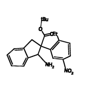 CCc1ccc([N+](=O)[O-])cc1C1(C(=O)OC(C)(C)C)Cc2ccccc2C1N